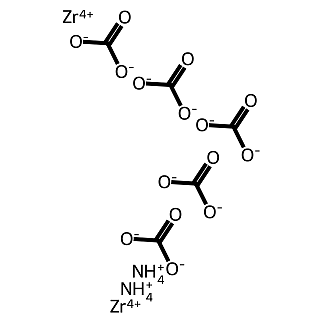 O=C([O-])[O-].O=C([O-])[O-].O=C([O-])[O-].O=C([O-])[O-].O=C([O-])[O-].[NH4+].[NH4+].[Zr+4].[Zr+4]